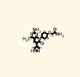 Cc1nc(N)nc2c1cc(-c1cn[nH]c1)c(=O)n2C1CCC(OCC(N)=O)CC1